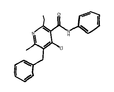 Cc1nc(C)c(C(=O)Nc2ccccc2)c(Cl)c1Cc1ccccc1